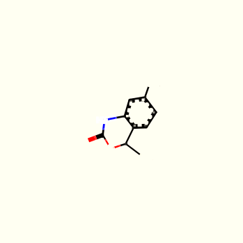 Cc1ccc2c(c1)NC(=O)OC2C